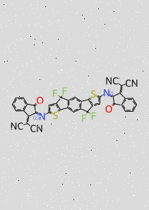 N#CC(C#N)=C1/C(=N/c2cc3c(s2)-c2cc4c(cc2C3(F)F)-c2sc(/N=C3\C(=O)c5ccccc5C3=C(C#N)C#N)cc2C4(F)F)C(=O)c2ccccc21